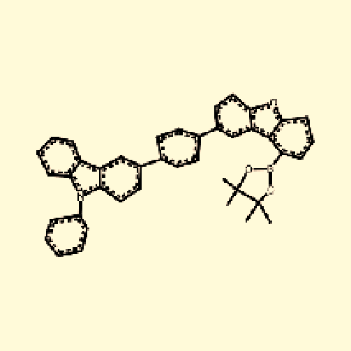 CC1(C)OB(c2cccc3oc4ccc(-c5ccc(-c6ccc7c(c6)c6ccccc6n7-c6ccccc6)cc5)cc4c23)OC1(C)C